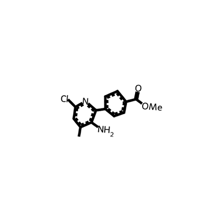 COC(=O)c1ccc(-c2nc(Cl)cc(C)c2N)cc1